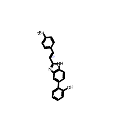 CC(C)(C)c1ccc(/C=C/c2nc3cc(-c4ccccc4O)ccc3[nH]2)cc1